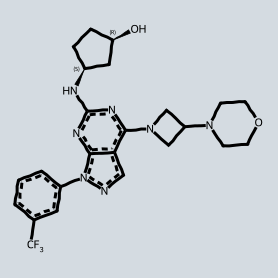 O[C@@H]1CC[C@H](Nc2nc(N3CC(N4CCOCC4)C3)c3cnn(-c4cccc(C(F)(F)F)c4)c3n2)C1